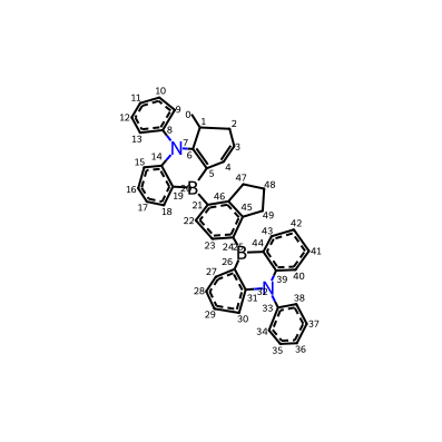 CC1CC=CC2=C1N(c1ccccc1)c1ccccc1B2c1ccc(B2c3ccccc3N(c3ccccc3)c3ccccc32)c2c1CCC2